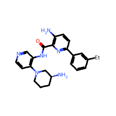 CCc1cccc(-c2ccc(N)c(C(=O)Nc3cnccc3N3CCC[C@H](N)C3)n2)c1